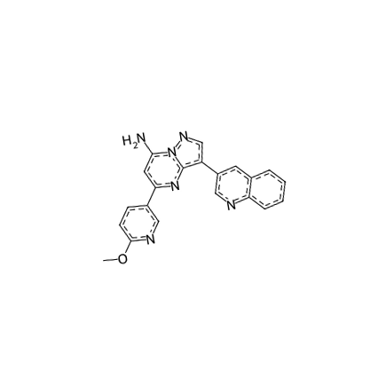 COc1ccc(-c2cc(N)n3ncc(-c4cnc5ccccc5c4)c3n2)cn1